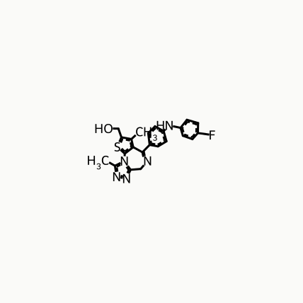 Cc1c(CO)sc2c1C(c1ccc(Nc3ccc(F)cc3)cc1)=NCc1nnc(C)n1-2